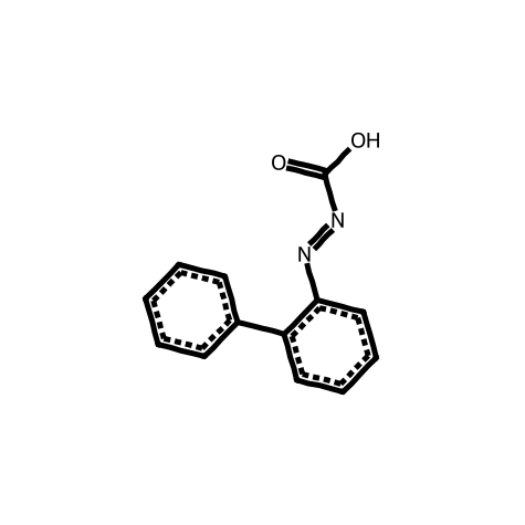 O=C(O)N=Nc1ccccc1-c1ccccc1